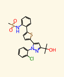 CC(C)(O)c1cc(-c2ccc(-c3ccccc3NS(C)(=O)=O)s2)n(-c2ccccc2Cl)n1